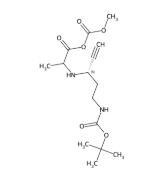 C#C[C@H](CCNC(=O)OC(C)(C)C)NC(C)C(=O)OC(=O)OC